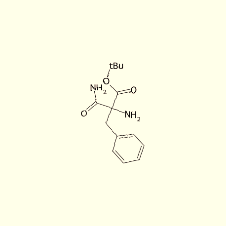 CC(C)(C)OC(=O)C(N)(Cc1ccccc1)C(N)=O